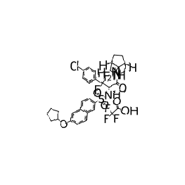 N[C@H]1[C@@H]2CC[C@H]1CN(C(=O)[C@H](NS(=O)(=O)c1ccc3cc(OC4CCCC4)ccc3c1)C(F)(F)c1ccc(Cl)cc1)C2.O=C(O)C(F)(F)F